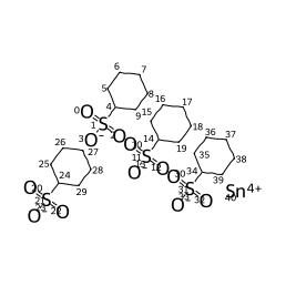 O=S(=O)([O-])C1CCCCC1.O=S(=O)([O-])C1CCCCC1.O=S(=O)([O-])C1CCCCC1.O=S(=O)([O-])C1CCCCC1.[Sn+4]